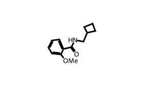 COc1ccccc1C(=O)NCC1CCC1